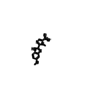 COc1ccc2[nH]c(-c3ncc([N+](=O)[O-])n3C)nc2c1